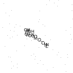 C=NN(/C=C\C)c1ccc(-c2ccc(-c3ccc4[nH]c(O[C@@H]5CO[C@H]6[C@@H]5OC[C@H]6O)cc4n3)cc2)cc1